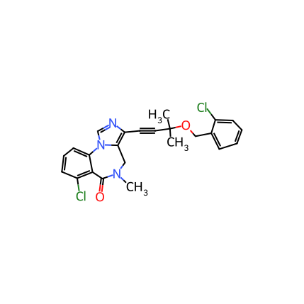 CN1Cc2c(C#CC(C)(C)OCc3ccccc3Cl)ncn2-c2cccc(Cl)c2C1=O